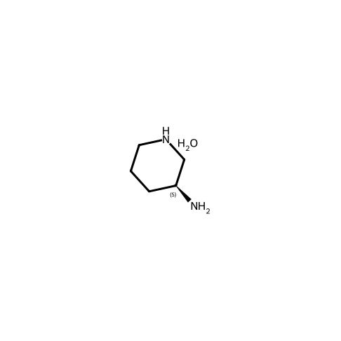 N[C@H]1CCCNC1.O